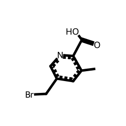 Cc1cc(CBr)cnc1C(=O)O